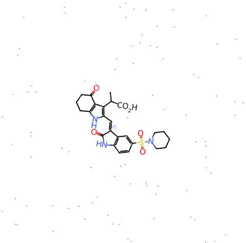 CC(C(=O)O)c1c(/C=C2\C(=O)Nc3ccc(S(=O)(=O)N4CCCCC4)cc32)[nH]c2c1C(=O)CCC2